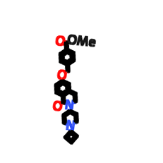 COC(=O)c1ccc(COc2ccc3c(c2)CCN(C2CCN(C4CCC4)CC2)C3=O)cc1